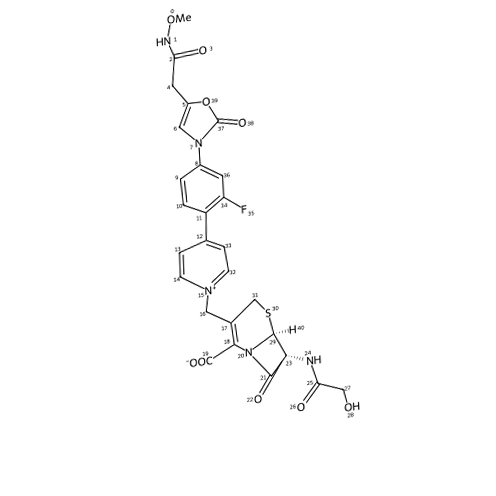 CONC(=O)Cc1cn(-c2ccc(-c3cc[n+](CC4=C(C(=O)[O-])N5C(=O)[C@@H](NC(=O)CO)[C@@H]5SC4)cc3)c(F)c2)c(=O)o1